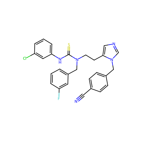 N#Cc1ccc(Cn2cncc2CCN(Cc2cccc(F)c2)C(=S)Nc2cccc(Cl)c2)cc1